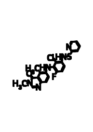 Cc1c(Nc2c(F)ccc(NSc3ccccn3)c2Cl)ccc2ncn(C)c(=O)c12